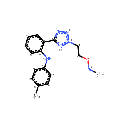 O=CNOCCn1nnc(-c2ccccc2Nc2ccc(C(F)(F)F)cc2)n1